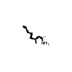 C=CCCCC(C)C[C@H](C)N